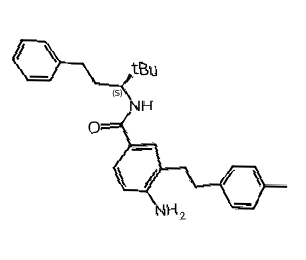 Cc1ccc(CCc2cc(C(=O)N[C@@H](CCc3ccccc3)C(C)(C)C)ccc2N)cc1